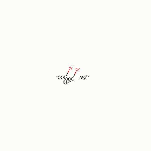 O=C([O-])[O-].O=C([O-])[O-].[Ca+2].[Mg+2]